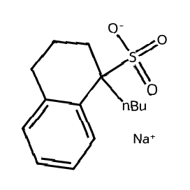 CCCCC1(S(=O)(=O)[O-])CCCc2ccccc21.[Na+]